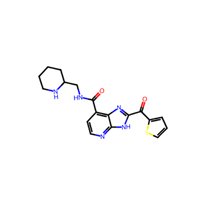 O=C(c1nc2c(C(=O)NCC3CCCCN3)ccnc2[nH]1)c1cccs1